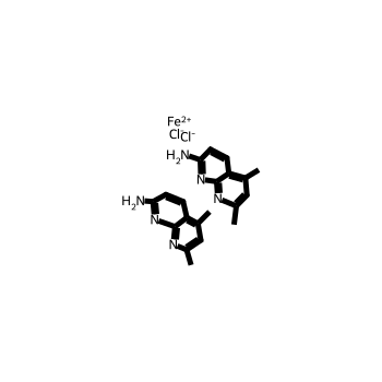 Cc1cc(C)c2ccc(N)nc2n1.Cc1cc(C)c2ccc(N)nc2n1.[Cl-].[Cl-].[Fe+2]